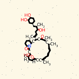 C\C1=C/C=C/C=C/[C@@H](C)C[C@@H](C)C(=O)C[C@@H](/C(C)=C/CC(O)[C@H](C)C[C@@H]2CC[C@@H](O)[C@H](O)C2)CC2CCCCN2C(=O)C[C@]2(O)O[C@H](CC1)CC[C@H]2C